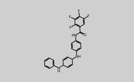 O=C(Nc1ccc(NC2C=CC(Nc3ccccc3)C=C2)cc1)c1cc(F)c(F)c(F)c1F